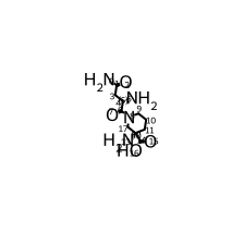 NC(=O)C[C@H](N)C(=O)N1CCC[C@](N)(C(=O)O)C1